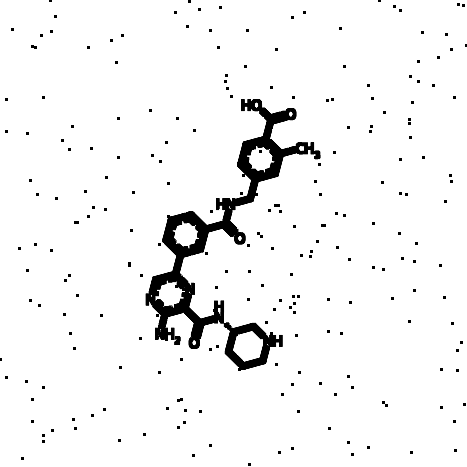 Cc1cc(CNC(=O)c2cccc(-c3cnc(N)c(C(=O)N[C@H]4CCCNC4)n3)c2)ccc1C(=O)O